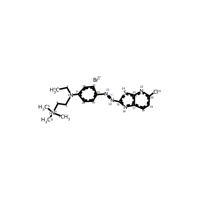 CCN(CC[N+](C)(C)C)c1ccc(/N=N/c2nc3ccc(Cl)nc3s2)cc1.[Br-]